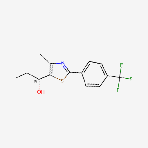 CC[C@@H](O)c1sc(-c2ccc(C(F)(F)F)cc2)nc1C